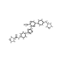 Nc1ncc(-c2ccc(SC3CCOC3)cc2)nc1-c1nnc(-c2ccc(CNC3CCOC3)cc2)o1